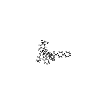 CCOc1ncccc1[C@]1(NC(=O)N2CC(N3CCC(N4CCOCC4)CC3)C2)C(=O)N(S(=O)(=O)c2ccc(OC)cc2F)c2ccc(C#N)cc21